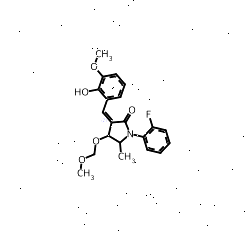 COCOC1/C(=C/c2cccc(OC)c2O)C(=O)N(c2ccccc2F)C1C